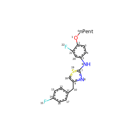 CCCCCOc1ccc(Nc2nc(Cc3ccc(F)cc3)cs2)cc1F